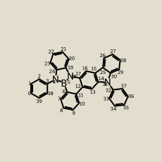 c1ccc(N2B3c4ccccc4-c4cc5c(cc4N3c3ccccc32)c2ccccc2n5-c2ccccc2)cc1